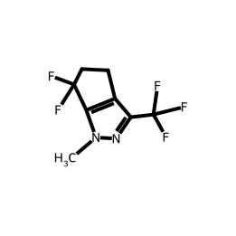 Cn1nc(C(F)(F)F)c2c1C(F)(F)CC2